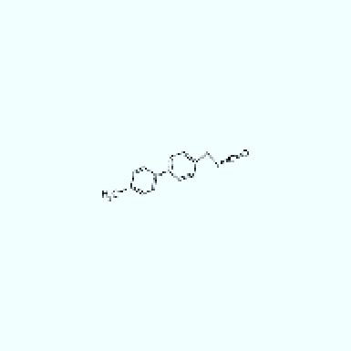 Cc1ccc(-c2ccc(CN=C=O)cc2)cc1